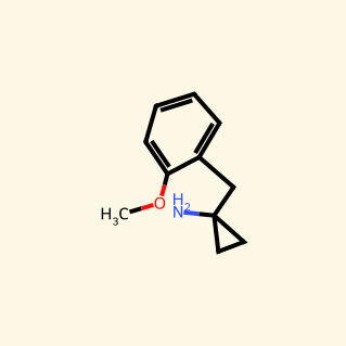 COc1ccccc1CC1(N)CC1